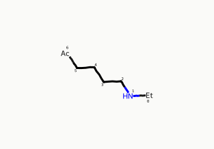 CCNCCCCC(C)=O